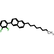 CCCCCCCCc1ccc2cc(-c3cccc(F)c3F)ccc2c1